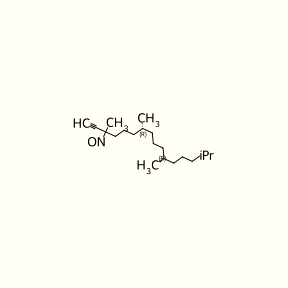 C#CC(C)(CCC[C@H](C)CCC[C@H](C)CCCC(C)C)N=O